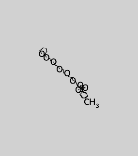 Cc1ccc(S(=O)(=O)OCCOCCOCCOCCOCCOC2CCCCO2)cc1